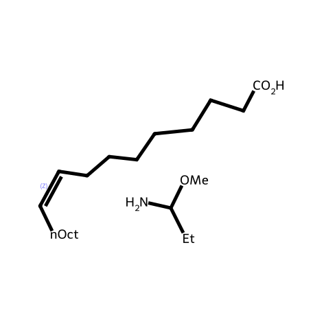 CCC(N)OC.CCCCCCCC/C=C\CCCCCCCC(=O)O